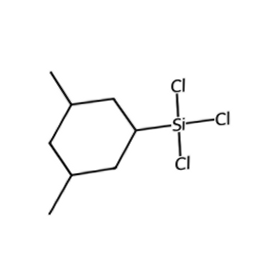 CC1CC(C)CC([Si](Cl)(Cl)Cl)C1